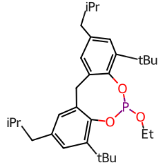 CCOP1Oc2c(cc(CC(C)C)cc2C(C)(C)C)Cc2cc(CC(C)C)cc(C(C)(C)C)c2O1